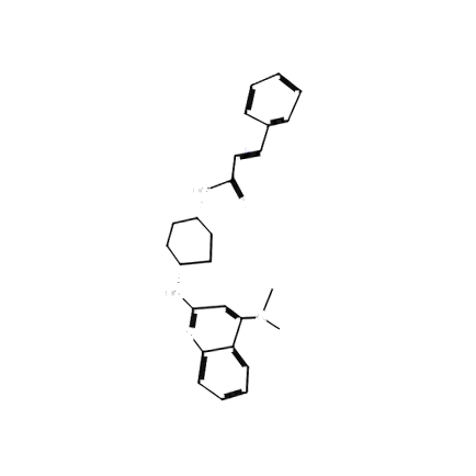 CN(C)c1cc(N[C@H]2CC[C@@H](NC(=O)/C=C/c3ccccc3)CC2)nc2ccccc12